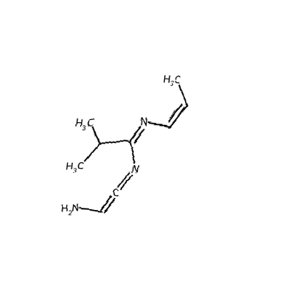 C/C=C\N=C(/N=C=CN)C(C)C